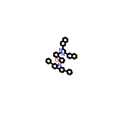 c1ccc(-c2ccc3c4ccc(-c5ccccc5)cc4n(-c4cccc5c4oc4cccc(-c6nc(-c7ccc8ccccc8c7)cc(-c7ccc8ccccc8c7)n6)c45)c3c2)cc1